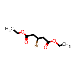 CCOC(=O)CC(Br)CC(=O)OCC